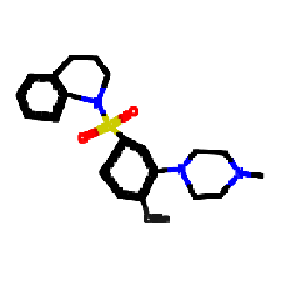 COc1ccc(S(=O)(=O)N2CCCc3ccccc32)cc1N1CCN(C)CC1